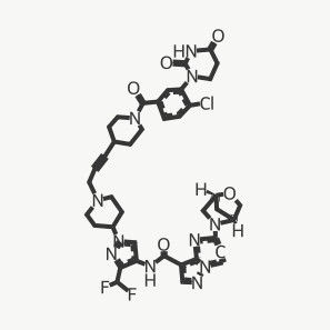 O=C1CCN(c2cc(C(=O)N3CCC(C#CCN4CCC(n5cc(NC(=O)c6cnn7ccc(N8C[C@H]9C[C@@H]8CO9)nc67)c(C(F)F)n5)CC4)CC3)ccc2Cl)C(=O)N1